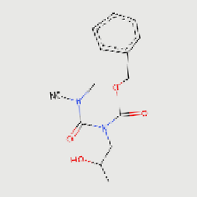 CC(O)CN(C(=O)OCc1ccccc1)C(=O)N(C)C#N